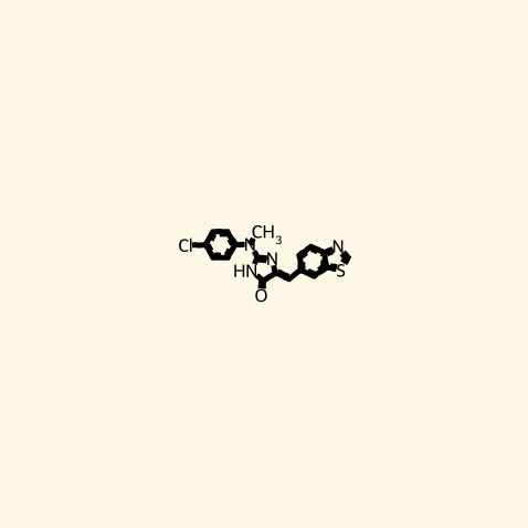 CN(C1=NC(=Cc2ccc3ncsc3c2)C(=O)N1)c1ccc(Cl)cc1